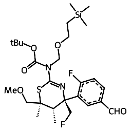 COC[C@@]1(C)SC(N(COCC[Si](C)(C)C)C(=O)OC(C)(C)C)=N[C@](CF)(c2cc(C=O)ccc2F)[C@@H]1C